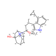 CC(CC(=O)N1CC2CC3CC1CC(O)(C3)C2)c1c(C(=O)O)[nH]c2cccc(C3CC3)c12